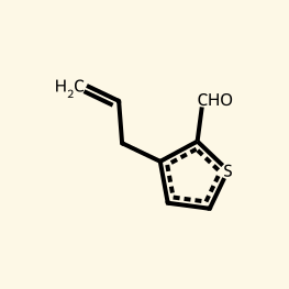 C=CCc1ccsc1C=O